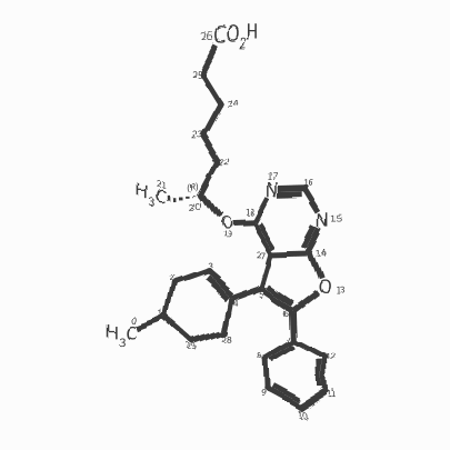 CC1CC=C(c2c(-c3ccccc3)oc3ncnc(O[C@H](C)CCCCC(=O)O)c23)CC1